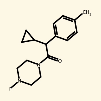 Cc1ccc(C(C(=O)N2CCN(I)CC2)C2CC2)cc1